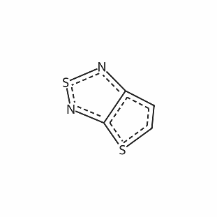 c1cc2nsnc2s1